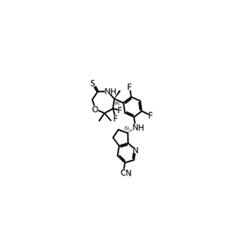 CC1(C)OCC(=S)N[C@](C)(c2cc(N[C@H]3CCc4cc(C#N)cnc43)c(F)cc2F)C1(F)F